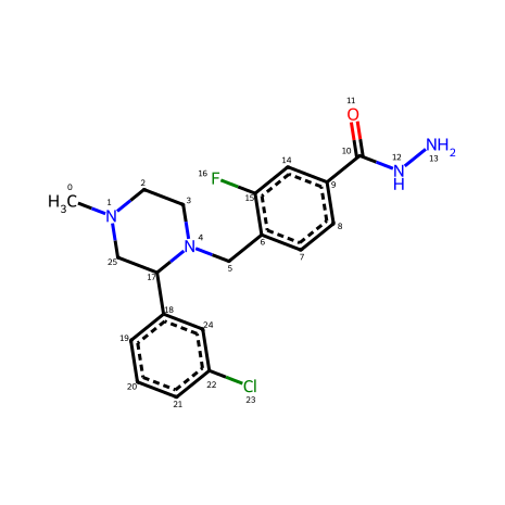 CN1CCN(Cc2ccc(C(=O)NN)cc2F)C(c2cccc(Cl)c2)C1